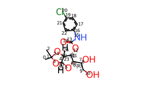 CC1(C)O[C@H]2O[C@H]([C@H](O)CO)[C@@H](OC(=O)Nc3ccc(Cl)cc3)[C@H]2O1